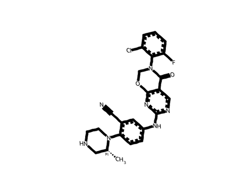 C[C@@H]1CNCCN1c1ccc(Nc2ncc3c(n2)OCN(c2c(F)cccc2Cl)C3=O)cc1C#N